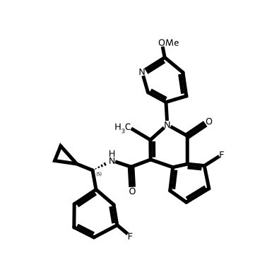 COc1ccc(-n2c(C)c(C(=O)N[C@H](c3cccc(F)c3)C3CC3)c3cccc(F)c3c2=O)cn1